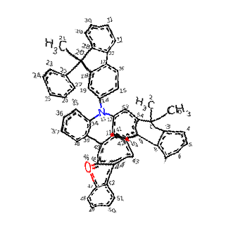 CC1(C)c2ccccc2-c2ccc(N(c3ccc4c(c3)C(C)(c3ccccc3)c3ccccc3-4)c3ccccc3-c3cccc4c3oc3ccccc34)cc21